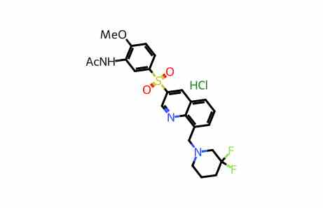 COc1ccc(S(=O)(=O)c2cnc3c(CN4CCCC(F)(F)C4)cccc3c2)cc1NC(C)=O.Cl